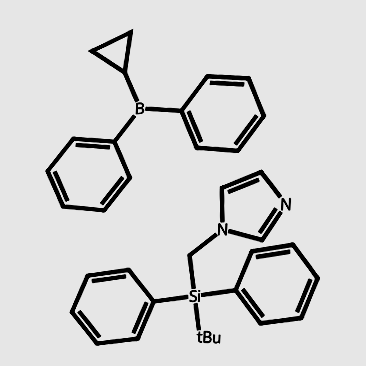 CC(C)(C)[Si](Cn1ccnc1)(c1ccccc1)c1ccccc1.c1ccc(B(c2ccccc2)C2CC2)cc1